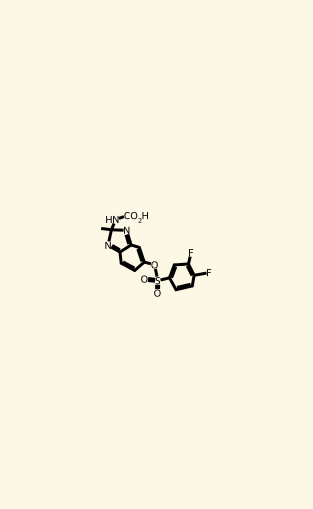 CC1(NC(=O)O)N=c2ccc(OS(=O)(=O)c3ccc(F)c(F)c3)cc2=N1